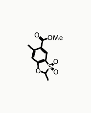 COC(=O)c1cc2c(cc1C)OC(C)S2(=O)=O